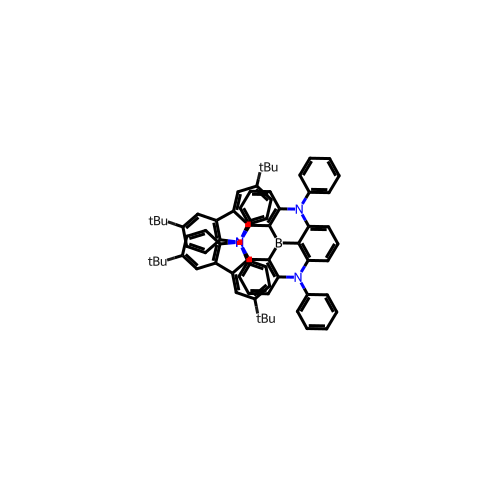 CC(C)(C)c1ccc2c(c1)c1cc(C(C)(C)C)ccc1n2-c1cccc2c1B1c3c(cccc3N(c3ccccc3)c3cccc(-n4c5ccc(C(C)(C)C)cc5c5cc(C(C)(C)C)ccc54)c31)N2c1ccccc1